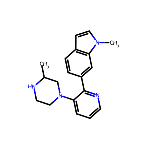 CC1CN(c2cccnc2-c2ccc3ccn(C)c3c2)CCN1